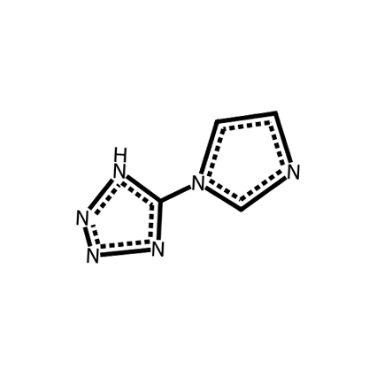 c1cn(-c2nnn[nH]2)cn1